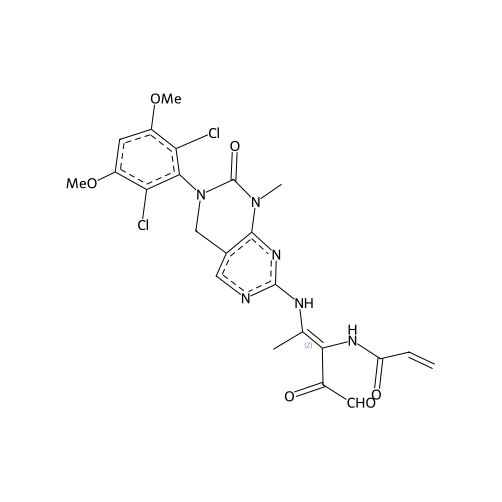 C=CC(=O)N/C(C(=O)C=O)=C(/C)Nc1ncc2c(n1)N(C)C(=O)N(c1c(Cl)c(OC)cc(OC)c1Cl)C2